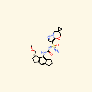 COC[C@H]1CCc2cc3c(c(NC(=O)N=[S@](N)(=O)c4cnn5c4OCC4(CC4)C5)c21)CCC3